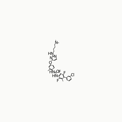 Cc1cc(Oc2ccnc(NCCCCN(C)C)n2)ccc1NC(=O)Nc1c(F)c(C)c(-c2cccc(Cl)c2)c(F)c1F